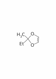 [CH2]CC1(C)OC=CO1